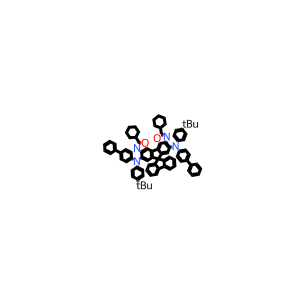 CC(C)(C)c1ccc(N(c2ccc(-c3ccccc3)cc2)c2cc3c(c4oc(C5CCCCC5)nc24)-c2c(cc(N(c4ccc(-c5ccccc5)cc4)c4ccc(C(C)(C)C)cc4)c4nc(C5CCCCC5)oc24)C32c3ccccc3-c3ccccc32)cc1